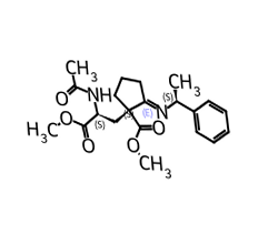 COC(=O)[C@H](C[C@@]1(C(=O)OC)CCC/C1=N\[C@@H](C)c1ccccc1)NC(C)=O